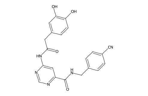 N#Cc1ccc(CNC(=O)c2cc(NC(=O)Cc3ccc(O)c(O)c3)ncn2)cc1